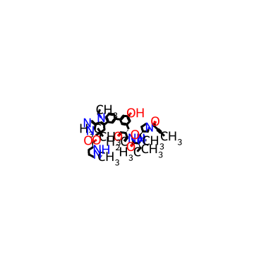 C=C(NC(=O)[C@H](C(C)C)N(C)C(=O)[C@H]1CCN(C(=O)C#CC)C1)[C@H](C=O)Cc1cc(O)cc(-c2ccc3c(c2)c(CC(C)(C)COC(=O)[C@@H]2CCCN(C)N2)c(-c2cncnc2)n3CC)c1